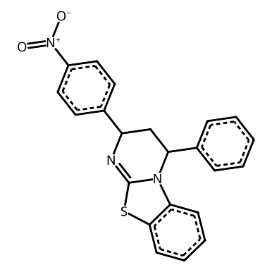 O=[N+]([O-])c1ccc(C2CC(c3ccccc3)N3C(=N2)Sc2ccccc23)cc1